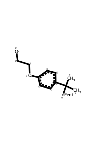 CCCCCC(C)(C)c1ccc(OCC[O])cc1